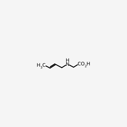 CC=CCNCC(=O)O